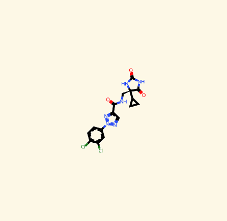 O=C1NC(=O)[C@](CNC(=O)c2cnn(-c3ccc(Cl)c(Cl)c3)n2)(C2CC2)N1